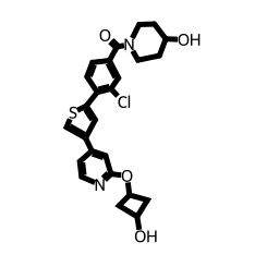 O=C(c1ccc(-c2cc(-c3ccnc(OC4CC(O)C4)c3)cs2)c(Cl)c1)N1CCC(O)CC1